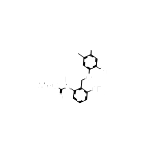 CCc1cc(Br)c(OCc2c(NC(=O)OC)cccc2C(F)(F)F)cc1C